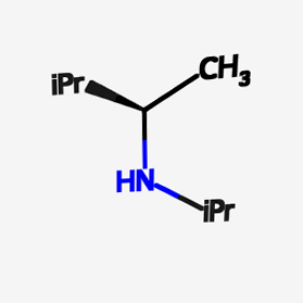 CC(C)N[C@H](C)C(C)C